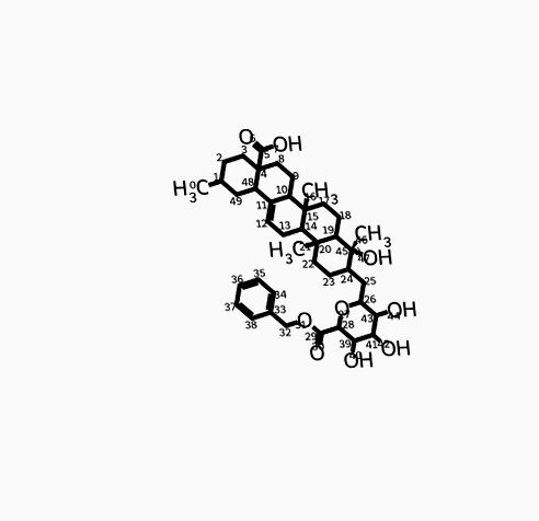 CC1CCC2(C(=O)O)CCC3C(=CCC4C3(C)CCC3C4(C)CCC(CC4OC(C(=O)OCc5ccccc5)C(O)C(O)C4O)[C@@]3(C)O)C2C1